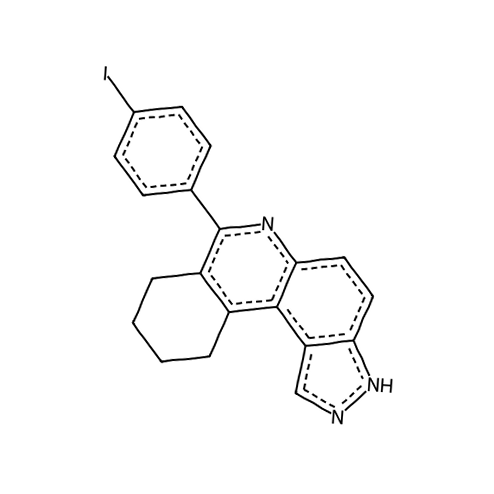 Ic1ccc(-c2nc3ccc4[nH]ncc4c3c3c2CCCC3)cc1